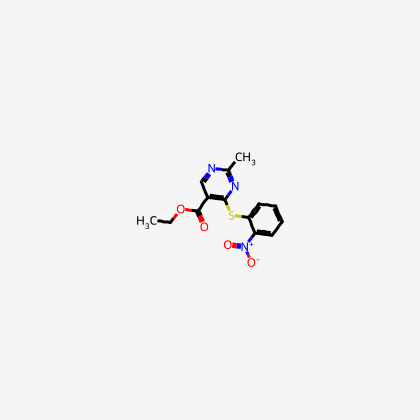 CCOC(=O)c1cnc(C)nc1Sc1ccccc1[N+](=O)[O-]